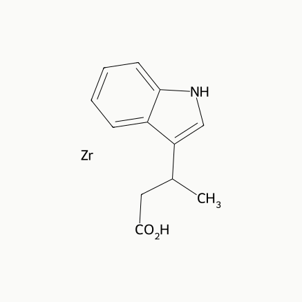 CC(CC(=O)O)c1c[nH]c2ccccc12.[Zr]